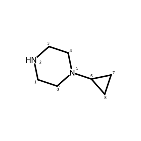 [CH]1CNCCN1C1CC1